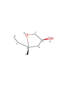 CC[C@@]1(C)C[C@H](O)CO1